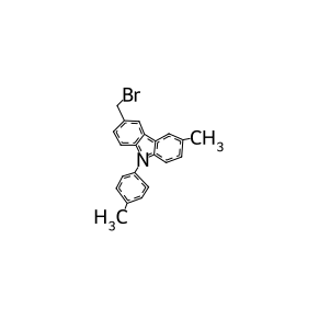 Cc1ccc(-n2c3ccc(C)cc3c3cc(CBr)ccc32)cc1